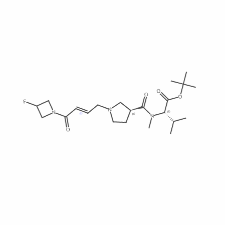 CC(C)[C@@H](C(=O)OC(C)(C)C)N(C)C(=O)[C@H]1CCN(C/C=C/C(=O)N2CC(F)C2)C1